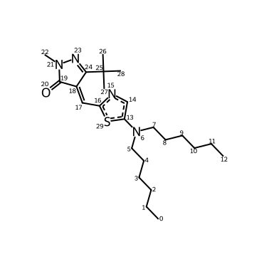 CCCCCCN(CCCCCC)c1cnc(C=C2C(=O)N(C)N=C2C(C)(C)C)s1